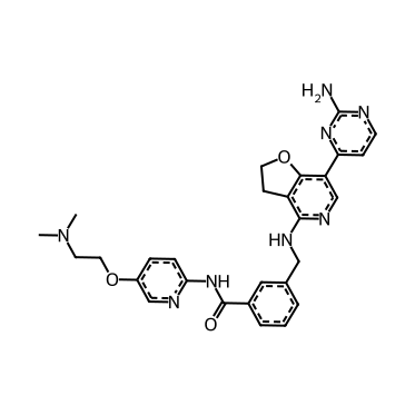 CN(C)CCOc1ccc(NC(=O)c2cccc(CNc3ncc(-c4ccnc(N)n4)c4c3CCO4)c2)nc1